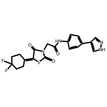 O=C(CN1C(=O)SC(=C2CCC(F)(F)CC2)C1=O)Nc1ccc(-c2cn[nH]c2)cc1